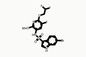 COc1nc(OCC(F)F)c(F)cc1NS(=O)(=O)c1c[nH]c2cc(Br)ccc12